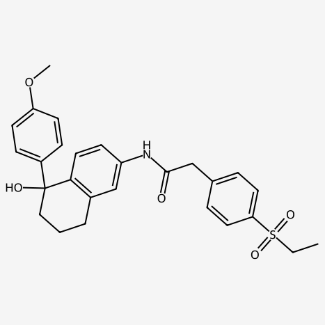 CCS(=O)(=O)c1ccc(CC(=O)Nc2ccc3c(c2)CCCC3(O)c2ccc(OC)cc2)cc1